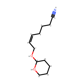 N#CCCC/C=C\COC1CCCCO1